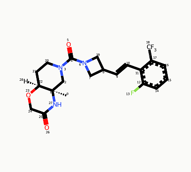 C[C@@]12CN(C(=O)N3CC(/C=C/c4c(F)cccc4C(F)(F)F)C3)CC[C@@H]1OCC(=O)N2